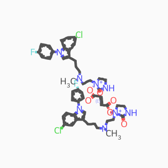 CN(CCCc1cn(-c2ccc(F)cc2)c2ccc(Cl)cc12)CC[N+]1(OC(=O)/C=C/C(=O)O[N+]2(CCN(C)CCCc3cn(-c4ccc(F)cc4)c4ccc(Cl)cc34)CCNC2=O)CCNC1=O